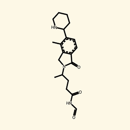 Cc1c(C2CCCCN2)ccc2c1CN(C(C)CCC(=O)NC=O)C2=O